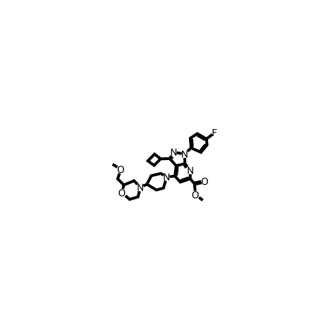 COCC1CN(C2CCN(c3cc(C(=O)OC)nc4c3c(C3CCC3)nn4-c3ccc(F)cc3)CC2)CCO1